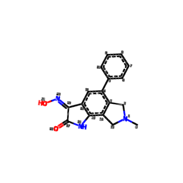 CN1Cc2c(-c3ccccc3)cc3c(c2C1)NC(=O)C3=NO